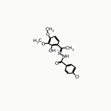 COc1ccc(/C(C)=N/NC(=O)c2ccc(Cl)cc2)c(O)c1OC